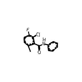 Cc1ccc(F)c(Cl)c1C(=O)Nc1ccccc1